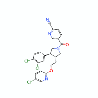 N#Cc1ccc(C(=O)N2C[C@H](CCOc3ccc(Cl)cn3)[C@@H](c3ccc(Cl)c(Cl)c3)C2)cn1